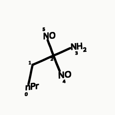 CCCCC(N)(N=O)N=O